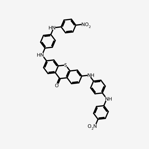 O=c1c2ccc(Nc3ccc(Nc4ccc([N+](=O)[O-])cc4)cc3)cc2sc2cc(Nc3ccc(Nc4ccc([N+](=O)[O-])cc4)cc3)ccc12